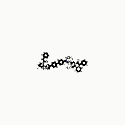 C=N/C(=C\NCCN(CC(C)(F)F)C(=O)[C@@H](c1ccccc1)N1CCCCC1)c1ccc(-c2ccc(-c3c[nH]c([C@@H]4CC(F)(F)CN4C(=O)Cc4ccccc4)n3)cc2)cc1